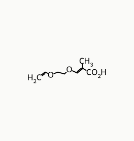 C=COCCOC=C(C)C(=O)O